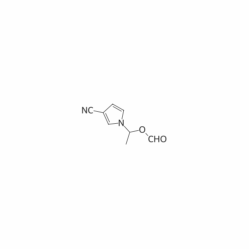 CC(OC=O)n1ccc(C#N)c1